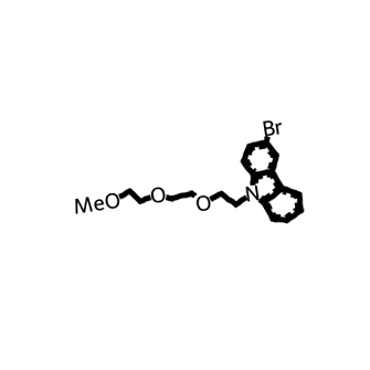 COCCOCCOCCn1c2ccccc2c2cc(Br)ccc21